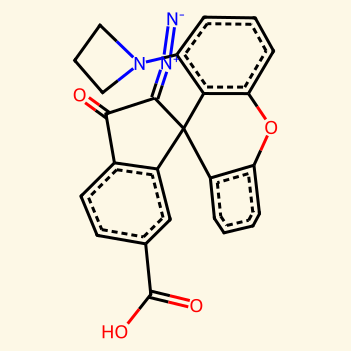 [N-]=[N+]=C1C(=O)c2ccc(C(=O)O)cc2C12c1ccccc1Oc1cccc(N3CCC3)c12